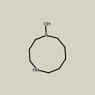 ON1CCCCCNCCC1